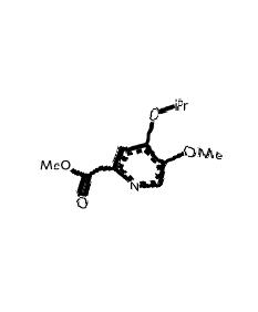 COC(=O)c1cc(OC(C)C)c(OC)cn1